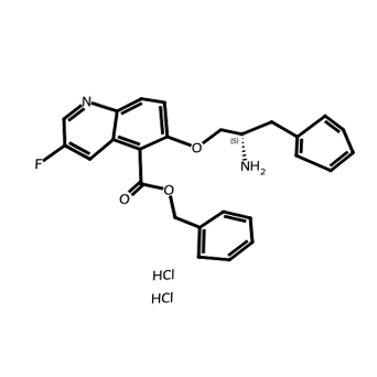 Cl.Cl.N[C@H](COc1ccc2ncc(F)cc2c1C(=O)OCc1ccccc1)Cc1ccccc1